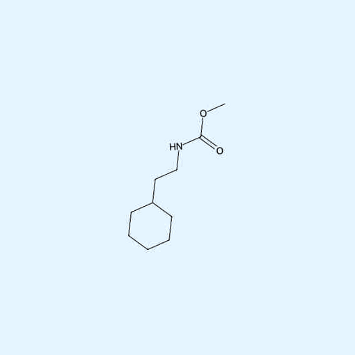 COC(=O)NCCC1CCCCC1